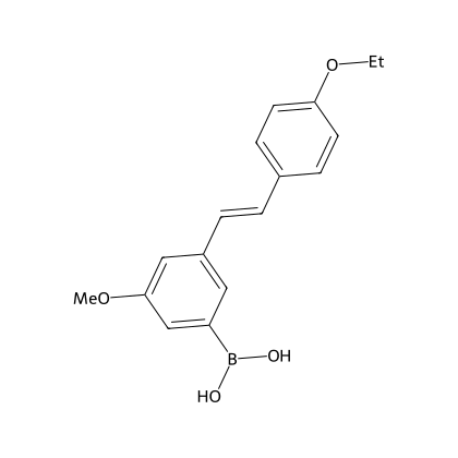 CCOc1ccc(/C=C/c2cc(OC)cc(B(O)O)c2)cc1